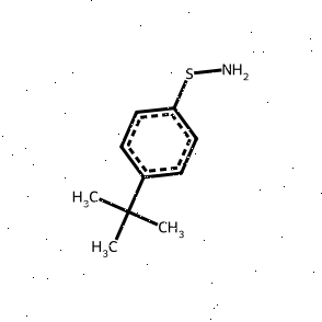 CC(C)(C)c1ccc(SN)cc1